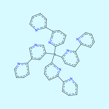 c1ccc(-c2cncc([Si](c3cccc(-c4ccccn4)n3)(c3cccc(-c4ccccn4)n3)c3cccc(-c4ccccn4)n3)c2)nc1